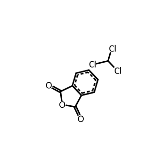 ClC(Cl)Cl.O=C1OC(=O)c2ccccc21